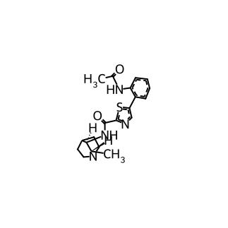 CC(=O)Nc1ccccc1-c1cnc(C(=O)N[C@@H]2C3CCN(CC3)[C@H]2C)s1